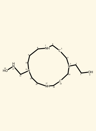 OCCN1CCCNCCCN(CNO)CCNCCC1